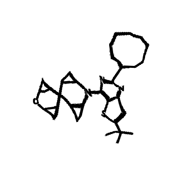 CC(C)(C)c1cc2nc(C3CCCCCCCC3)nc(N3C4CC4C4(C5CC5OC5CC54)C4CC43)c2s1